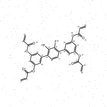 C=CC(=O)Oc1cc(OC(=O)C=C)cc(-c2ccc(-c3cc(OC(=O)C=C)cc(OC(=O)C=C)c3)c(F)c2F)c1